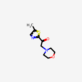 Cc1cnc(C(=O)CN2CCOCC2)s1